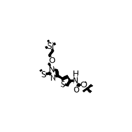 CSc1nc(-c2cc(NC(=O)OC(C)(C)C)cs2)cn1COCC[Si](C)(C)C